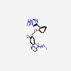 NC(=O)C1CCCCN1c1ccc(CCOc2ccccc2-c2c[nH]cn2)c(Cl)c1